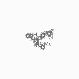 COc1ccccc1CCC(=O)NCC(Cc1c[nH]c2ccccc12)NC(=O)COc1ccc(Oc2cc(Cl)cc(Cl)c2)cc1